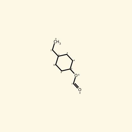 CCC1CCC(OC=O)CC1